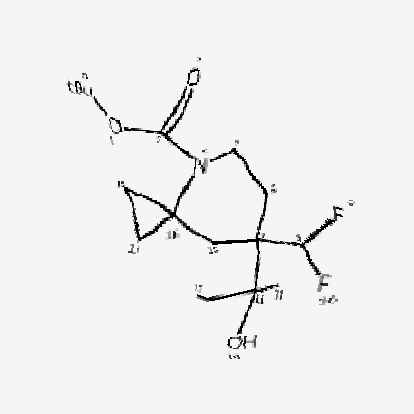 CC(C)(C)OC(=O)N1CCC(C(F)F)(C(C)(C)O)CC12CC2